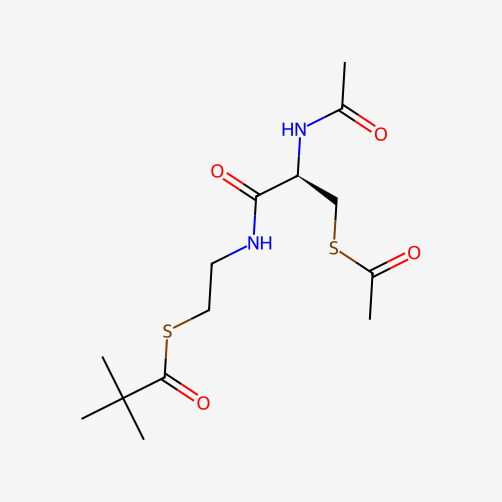 CC(=O)N[C@@H](CSC(C)=O)C(=O)NCCSC(=O)C(C)(C)C